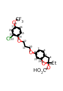 CCC1(OC(=O)O)Cc2ccc(OCCCOc3ccc(OC(F)(F)F)cc3Cl)cc2O1